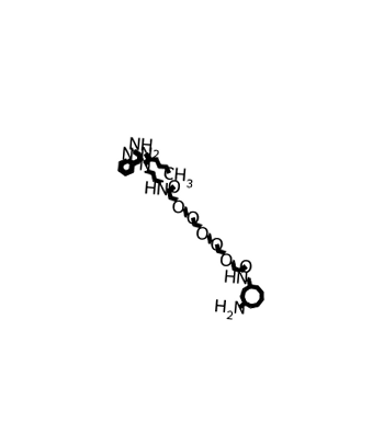 CCCCc1nc2c(N)nc3ccccc3c2n1CCCCNC(=O)CCOCCOCCOCCOCCOCCC(=O)NCC1CCCCCC(N)CC1